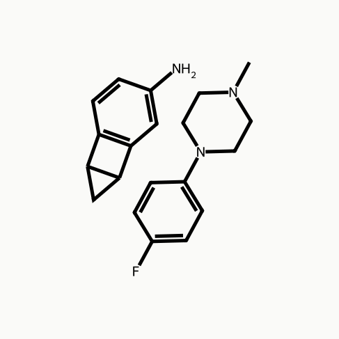 CN1CCN(c2ccc(F)cc2)CC1.Nc1ccc2c(c1)C1CC21